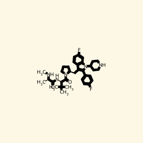 CN[C@@H](C)C(=O)N[C@H](C(=O)N1CCC[C@H]1Cc1c(-c2ccc(F)cc2)n(C2CCNCC2)c2cc(F)ccc12)C(C)(C)C